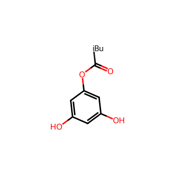 CCC(C)C(=O)Oc1cc(O)cc(O)c1